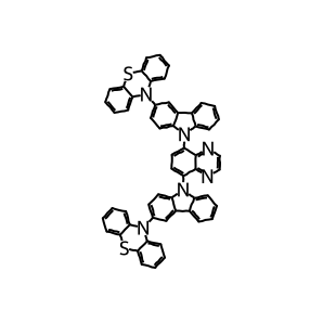 c1ccc2c(c1)Sc1ccccc1N2c1ccc2c(c1)c1ccccc1n2-c1ccc(-n2c3ccccc3c3cc(N4c5ccccc5Sc5ccccc54)ccc32)c2nccnc12